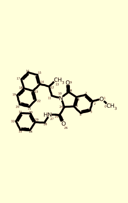 COc1ccc2c(c1)C(=O)N(CC(C)c1cccc3ccccc13)C2C(=O)NCc1ccccc1